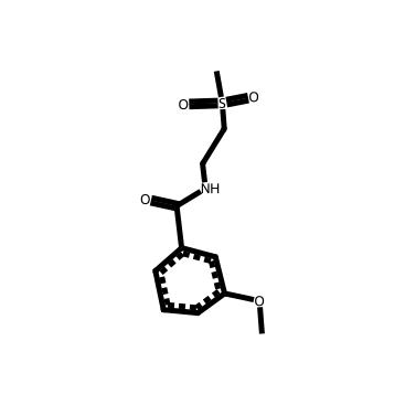 COc1cccc(C(=O)NCCS(C)(=O)=O)c1